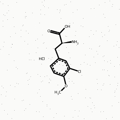 COc1ccc(C[C@H](N)C(=O)O)cc1Cl.Cl